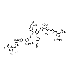 CCCCCCCCc1cc(/C=c2\sc(N(CC)CC)nc2=C(C#N)C#N)sc1-c1ccc(-c2sc(-c3cc4c(-c5ccc(CC(CC)CCCC)s5)c5sc(-c6cc(CCCCCCCC)c(-c7ccc(-c8sc(/C=c9\sc(N(CC)CC)nc9=C(C#N)C#N)cc8CCCCCCCC)s7)s6)cc5c(-c5ccc(CC(CC)CCCC)s5)c4s3)cc2CCCCCCCC)s1